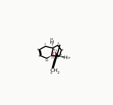 C=C1C[C@@H]2CC[C@@H]3CC=CC[C@]32O1